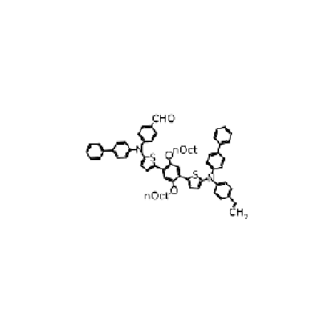 C=Cc1ccc(N(c2ccc(-c3ccccc3)cc2)c2ccc(-c3cc(OCCCCCCCC)c(-c4ccc(N(c5ccc(C=O)cc5)c5ccc(-c6ccccc6)cc5)s4)cc3OCCCCCCCC)s2)cc1